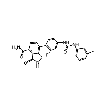 Cc1cccc(NC(=O)Nc2ccc(-c3ccc(C(N)=O)c4c3CNC4=O)c(F)c2)c1